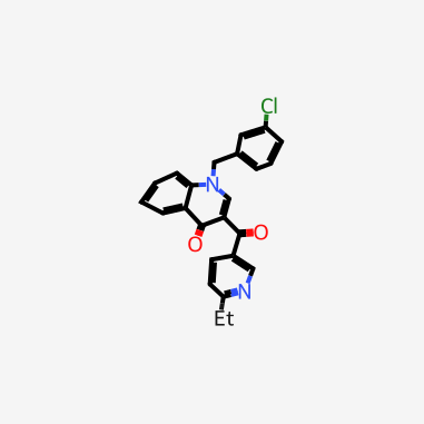 CCc1ccc(C(=O)c2cn(Cc3cccc(Cl)c3)c3ccccc3c2=O)cn1